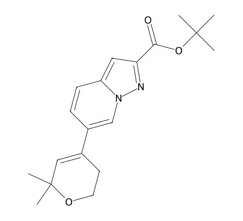 CC(C)(C)OC(=O)c1cc2ccc(C3=CC(C)(C)OCC3)cn2n1